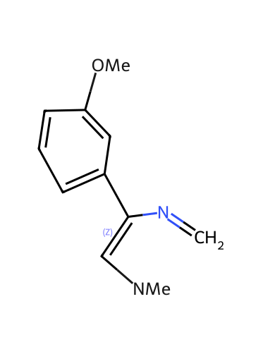 C=N/C(=C\NC)c1cccc(OC)c1